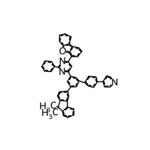 CC1(C)c2ccccc2-c2cc(-c3cc(-c4ccc(-c5ccncc5)cc4)cc(-c4cc(-c5cccc6c5oc5ccccc56)nc(-c5ccccc5)n4)c3)ccc21